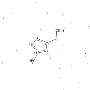 Cc1c(CC(=O)O)cnn1C(C)C